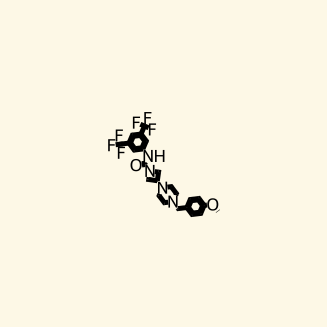 COc1ccc(CN2CCN(C3CN(C(=O)Nc4cc(C(F)(F)F)cc(C(F)(F)F)c4)C3)CC2)cc1